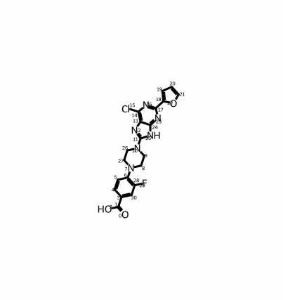 O=C(O)c1ccc(N2CCN(c3nc4c(Cl)nc(-c5ccco5)nc4[nH]3)CC2)c(F)c1